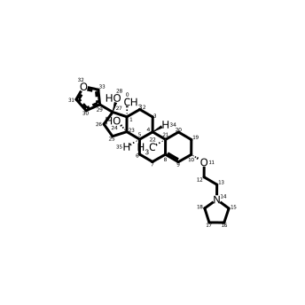 C[C@]12CC[C@H]3[C@@H](CCC4=C[C@@H](OCCN5CCCC5)CC[C@@]43C)[C@@]1(O)CC[C@]2(O)c1ccoc1